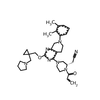 C=CC(=O)N1CCN(c2nc(OCC3(CN4CCCC4)CC3)nc3c2CCN(c2cccc(C)c2C)C3)C[C@@H]1CC#N